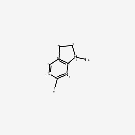 Ic1ncc2c(n1)N(I)CC2